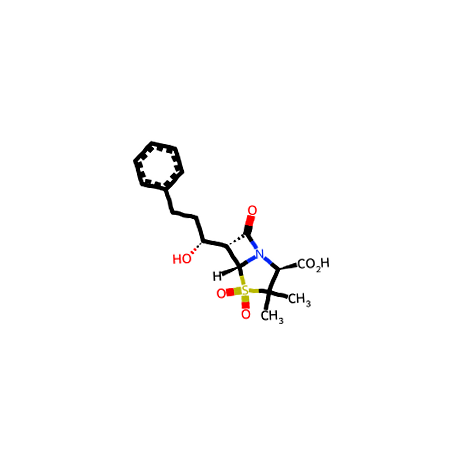 CC1(C)[C@H](C(=O)O)N2C(=O)[C@@H]([C@H](O)CCc3ccccc3)[C@H]2S1(=O)=O